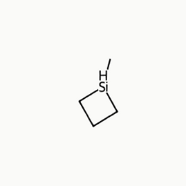 C[SiH]1CCC1